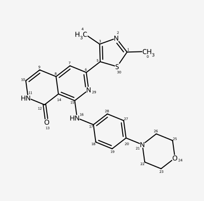 Cc1nc(C)c(-c2cc3cc[nH]c(=O)c3c(Nc3ccc(N4CCOCC4)cc3)n2)s1